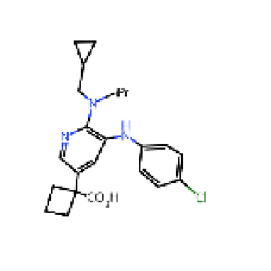 CC(C)N(CC1CC1)c1ncc(C2(C(=O)O)CCC2)cc1Nc1ccc(Cl)cc1